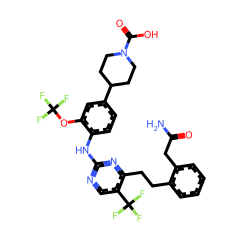 NC(=O)Cc1ccccc1CCc1nc(Nc2ccc(C3CCN(C(=O)O)CC3)cc2OC(F)(F)F)ncc1C(F)(F)F